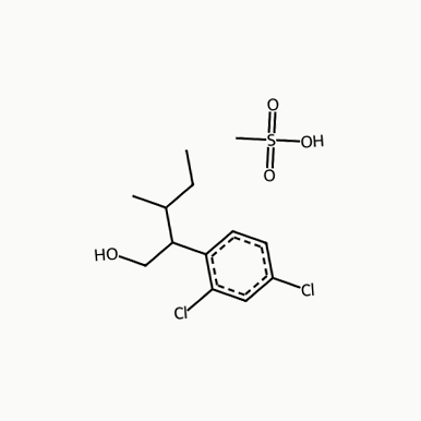 CCC(C)C(CO)c1ccc(Cl)cc1Cl.CS(=O)(=O)O